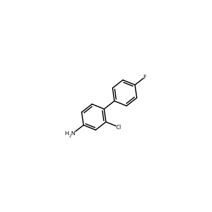 Nc1ccc(-c2ccc(F)cc2)c(Cl)c1